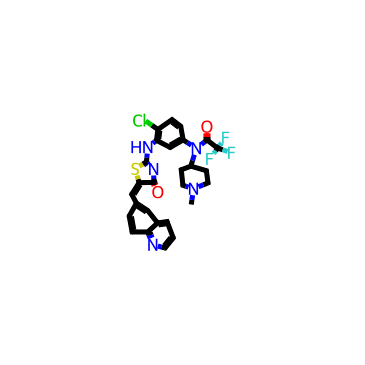 CN1CCC(N(C(=O)C(F)(F)F)c2ccc(Cl)c(NC3=NC(=O)C(=Cc4ccc5ncccc5c4)S3)c2)CC1